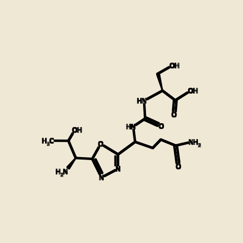 CC(O)[C@H](N)c1nnc(C(CCC(N)=O)NC(=O)N[C@@H](CO)C(=O)O)o1